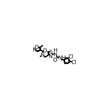 Cc1oncc1C(=O)N(C)Cc1csc(NC(=O)NCc2ccc(Cl)c(Cl)c2)n1